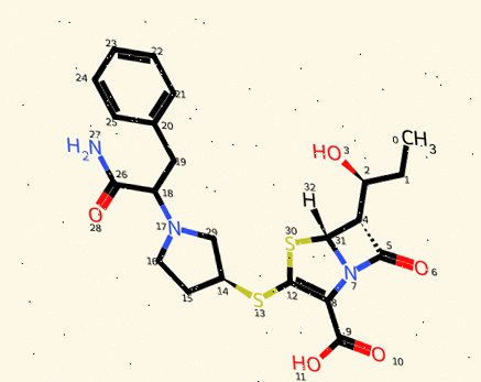 CC[C@H](O)[C@@H]1C(=O)N2C(C(=O)O)=C(S[C@H]3CCN(C(Cc4ccccc4)C(N)=O)C3)S[C@H]12